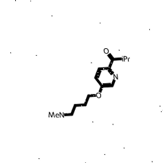 CNCCCCOc1ccc(C(=O)C(C)C)nc1